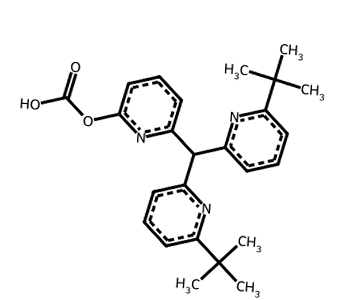 CC(C)(C)c1cccc(C(c2cccc(OC(=O)O)n2)c2cccc(C(C)(C)C)n2)n1